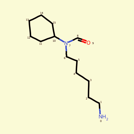 NCCCCCCN(C=O)C1CCCCC1